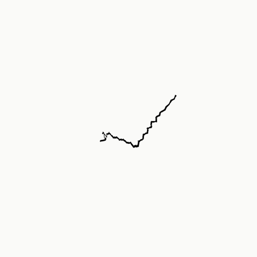 CCCCCCCCCCCCCCCCC/C=C\CCCCCCCN(C)CC